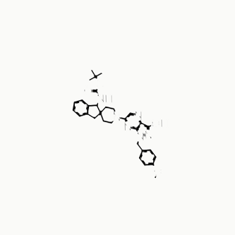 COc1ccc(Cn2nc(O)c3ncc(N4CCC5(CC4)Cc4ccccc4C5NC(=O)OC(C)(C)C)nc32)cc1